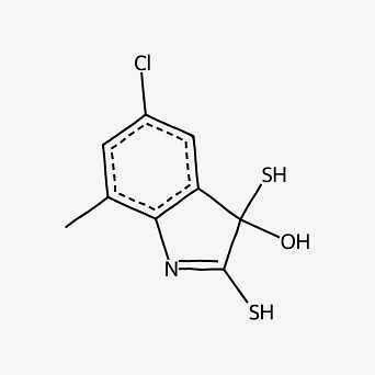 Cc1cc(Cl)cc2c1N=C(S)C2(O)S